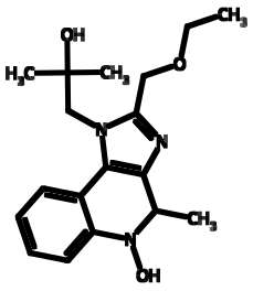 CCOCc1nc2c(n1CC(C)(C)O)-c1ccccc1N(O)C2C